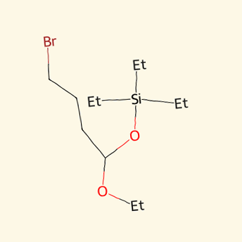 CCOC(CCCBr)O[Si](CC)(CC)CC